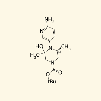 C[C@H]1CN(C(=O)OC(C)(C)C)CC(C)(O)N1c1ccc(N)nc1